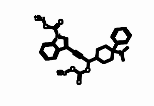 CN(C)C1(c2ccccc2)CCC(C(C#Cc2cn(C(=O)OC(C)(C)C)c3ccccc23)OC(=O)OC(C)(C)C)CC1